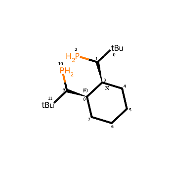 CC(C)(C)C(P)[C@H]1CCCC[C@H]1C(P)C(C)(C)C